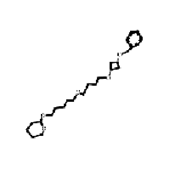 c1ccc(CO[C@H]2C[C@H](OCCCCOCCCCCOC3CCCCO3)C2)cc1